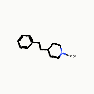 CCOC(=O)N1CCC(CCc2ccccc2)CC1